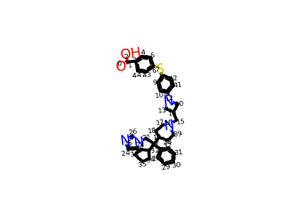 O=C(O)c1ccc(Sc2ccc(N3CC(CN4CCC(C(Cn5ccnc5)(c5ccccc5)C5CCCC5)CC4)C3)cc2)cc1